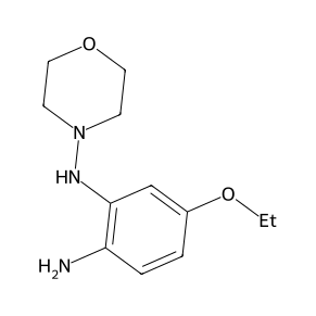 CCOc1ccc(N)c(NN2CCOCC2)c1